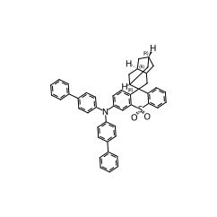 O=S1(=O)c2ccccc2C2(CC3C[C@H]4C[C@@H]3C[C@H]2C4)c2ccc(N(c3ccc(-c4ccccc4)cc3)c3ccc(-c4ccccc4)cc3)cc21